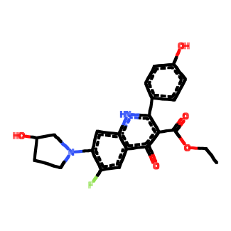 CCOC(=O)c1c(-c2ccc(O)cc2)[nH]c2cc(N3CCC(O)C3)c(F)cc2c1=O